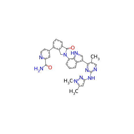 Cc1cnc(Nc2cc(C)n(C)n2)nc1-c1c[nH]c2c(N3Cc4c(cccc4-c4ccnc(C(N)=O)c4)C3=O)cccc12